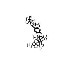 CC(C)(C)OC(=O)N[C@H](Cc1ccc(CNC(=O)C(F)(F)F)cc1)C(=O)O